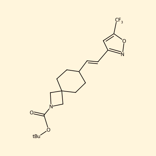 CC(C)(C)OC(=O)N1CC2(CCC(C=Cc3cc(C(F)(F)F)on3)CC2)C1